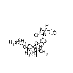 C[C@H](C(=O)N[C@H](C)c1cccc(OCCN(C)C)n1)N1Cc2ccc(-c3nc(NC4CCOCC4)ncc3Cl)cc2C1=O